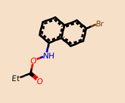 CCC(=O)ONc1cccc2cc(Br)ccc12